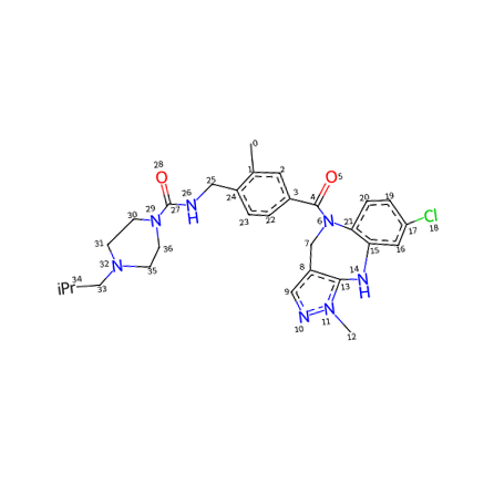 Cc1cc(C(=O)N2Cc3cnn(C)c3Nc3cc(Cl)ccc32)ccc1CNC(=O)N1CCN(CC(C)C)CC1